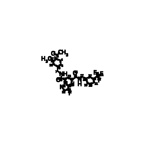 CC(=O)c1ccc(CNC(=O)c2cc(C(=O)NCc3cccc(C(F)(F)F)c3)nc3c(F)cnn23)cc1C